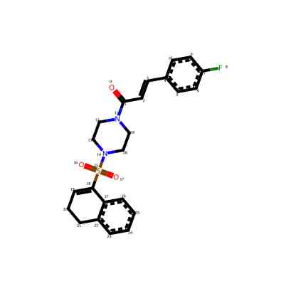 O=C(/C=C/c1ccc(F)cc1)N1CCN(S(=O)(=O)C2=CCCc3ccccc32)CC1